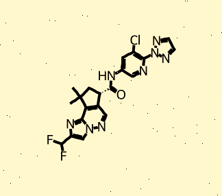 CC1(C)C[C@H](C(=O)Nc2cnc(-n3nccn3)c(Cl)c2)c2cnn3cc(C(F)F)nc3c21